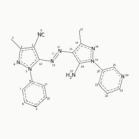 [C-]#[N+]c1c(C)nn(-c2ccccc2)c1/N=N/c1c(C)nn(-c2cccnc2)c1N